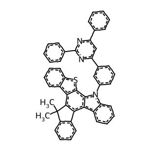 CC1(C)c2ccccc2-c2c1c1c3ccccc3sc1c1c2c2ccccc2n1-c1cccc(-c2cc(-c3ccccc3)nc(-c3ccccc3)n2)c1